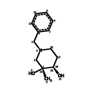 C[C@@]1(O)CN(Cc2ccccc2)CC[C@H]1O